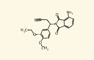 CCOc1cc(C(CC#N)N2C(=O)c3cccc(N)c3C2=O)ccc1OC